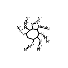 [N-]=[N+]=NC1CC(N=[N+]=[N-])C(N=[N+]=[N-])C(N=[N+]=[N-])C(N=[N+]=[N-])C(N=[N+]=[N-])C1N=[N+]=[N-]